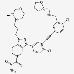 C[C@H]1COCCN1CCCn1nc(-c2ccc(Cl)c(C#Cc3ccc(Cl)c(CNC[C@@H]4CCCO4)c3)c2)c2c1CCN(C(=O)C(N)=O)C2